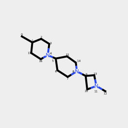 CC1CCN(C2CCN(C3CN(C)C3)CC2)CC1